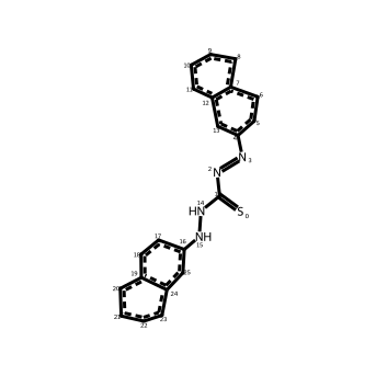 S=C(N=Nc1ccc2ccccc2c1)NNc1ccc2ccccc2c1